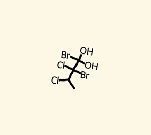 CC(Cl)C(Cl)(Br)C(O)(O)Br